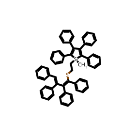 C[Si]1(CCS/C(=C(\C(=C\c2ccccc2)c2ccccc2)c2ccccc2)c2ccccc2)C(c2ccccc2)=C(c2ccccc2)C(c2ccccc2)=C1c1ccccc1